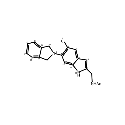 CC(=O)NCc1cc2cc(Cl)c(N3Cc4cccnc4C3)cc2[nH]1